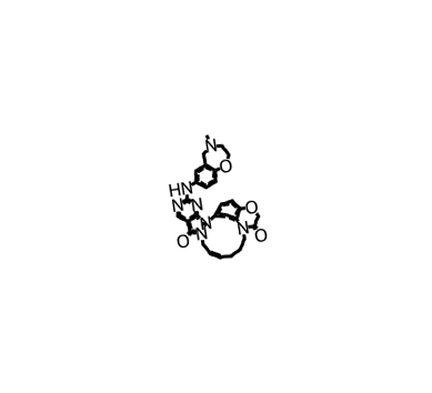 CN1CCOc2ccc(Nc3ncc4c(=O)n5n(c4n3)-c3ccc4c(c3)N(CCC/C=C\C5)C(=O)CO4)cc2C1